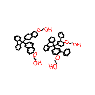 OCCOc1ccc(C2(c3ccc(OCCO)c(-c4ccccc4)c3)c3ccccc3-c3ccccc32)cc1-c1ccccc1.OCCOc1ccc2cc(C3(c4ccc5cc(OCCO)ccc5c4)c4ccccc4-c4ccccc43)ccc2c1